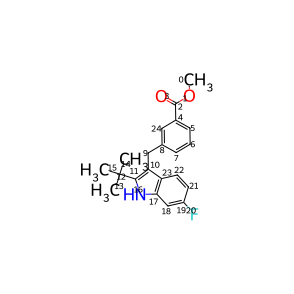 COC(=O)c1cccc(Cc2c(C(C)(C)C)[nH]c3cc(F)ccc23)c1